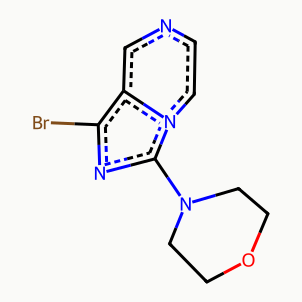 Brc1nc(N2CCOCC2)n2ccncc12